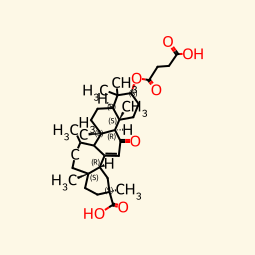 CC1CC[C@@]2(C)CC[C@](C)(C(=O)O)C[C@H]2C2=CC(=O)[C@@H]3[C@@]4(C)CC[C@H](OC(=O)CCC(=O)O)C(C)(C)[C@@H]4CC[C@@]3(C)C21